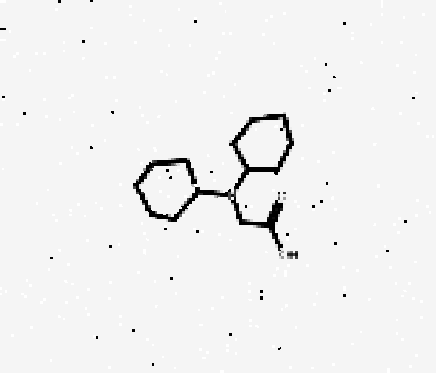 O=C(O)CN(C1CCCCC1)C1CCCCC1